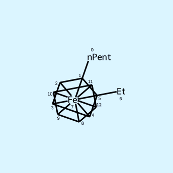 CCCCC[C]12[CH]3[CH]4[CH]5[C]1(CC)[Fe]45321678[CH]2[CH]1[CH]6[CH]7[CH]28